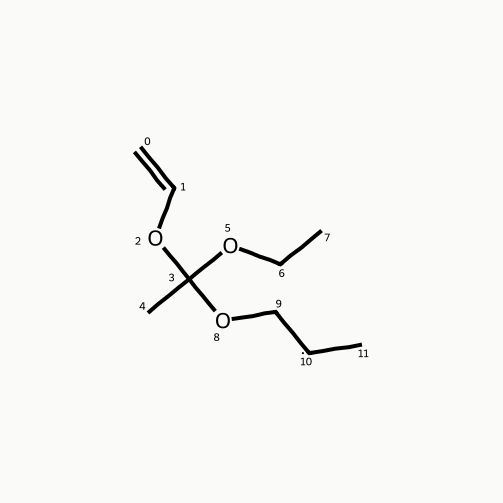 C=COC(C)(OCC)OC[CH]C